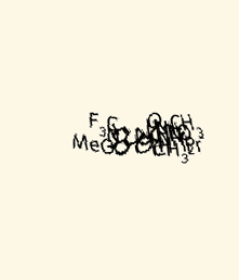 COc1ccc(-c2nc(C(=O)NC[C@H](C)NC(=O)C(C)C)c([C@H](C)N)o2)c2ccc(C(F)(F)F)nc12